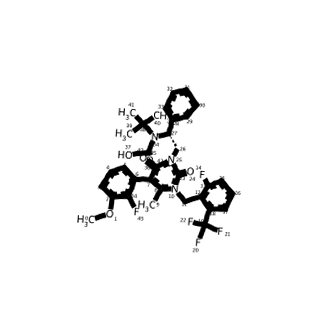 COc1cccc(-c2c(C)n(Cc3c(F)cccc3C(F)(F)F)c(=O)n(C[C@@H](c3ccccc3)N(C(=O)O)C(C)(C)C)c2=O)c1F